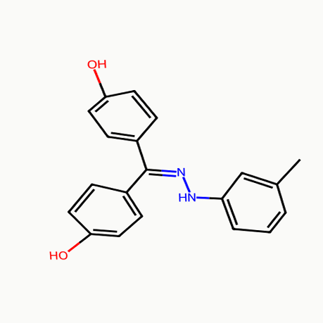 Cc1cccc(NN=C(c2ccc(O)cc2)c2ccc(O)cc2)c1